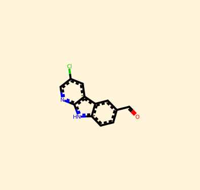 O=Cc1ccc2[nH]c3ncc(Cl)cc3c2c1